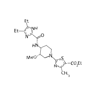 CCOC(=O)c1sc(N2CCC(NC(=O)c3nc(CC)c(CC)[nH]3)C(OC)C2)nc1C